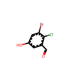 O=Cc1cc(O)cc(Br)c1Cl